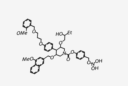 CCC(O)COC1CN(C(=O)Oc2ccc(CON(O)O)cc2)CC(OCc2cc(OC)c3ccccc3c2)C1c1ccc(OCCCOCc2ccccc2OC)cc1